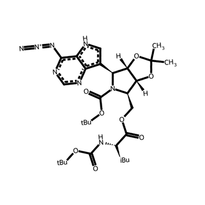 CC[C@H](C)[C@H](NC(=O)OC(C)(C)C)C(=O)OC[C@@H]1[C@H]2OC(C)(C)O[C@H]2[C@H](c2c[nH]c3c(N=[N+]=[N-])ncnc23)N1C(=O)OC(C)(C)C